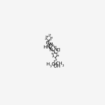 CC(C)(O)CCc1ccc(-c2nc3[nH]c(OC4CCCCC4)nc3cc2Cl)cc1